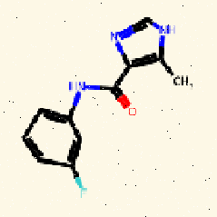 Cc1[nH]cnc1C(=O)Nc1cccc(F)c1